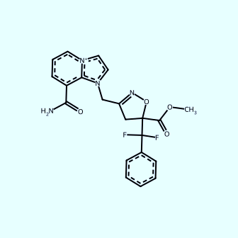 COC(=O)C1(C(F)(F)c2ccccc2)CC(Cn2cc[n+]3cccc(C(N)=O)c23)=NO1